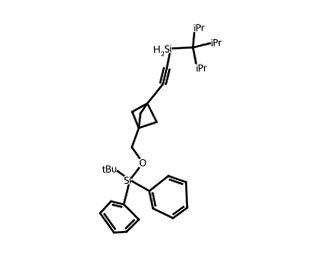 CC(C)C([SiH2]C#CC12CC(CO[Si](c3ccccc3)(c3ccccc3)C(C)(C)C)(C1)C2)(C(C)C)C(C)C